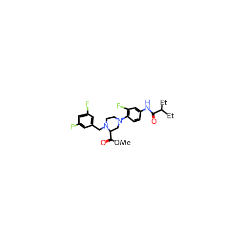 CCC(CC)C(=O)Nc1ccc(N2CCN(Cc3cc(F)cc(F)c3)C(C(=O)OC)C2)c(F)c1